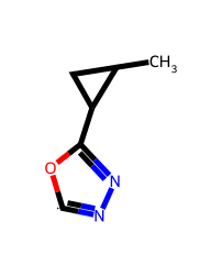 CC1CC1c1nn[c]o1